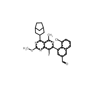 CSc1nc(C2CC3CCC(C3)C2)c2c(C)nc(-c3cc(C=O)cc4cccc(Cl)c34)c(F)c2n1